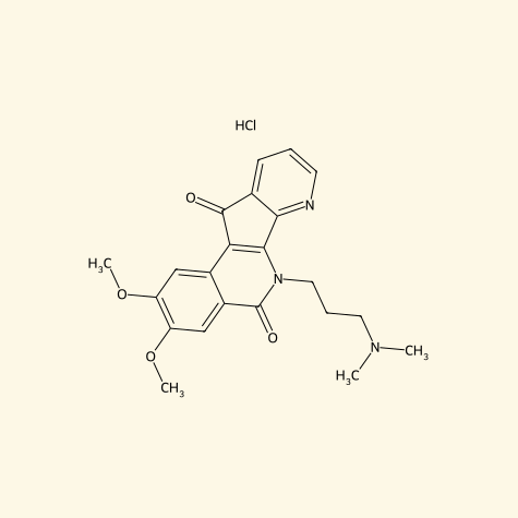 COc1cc2c3c(n(CCCN(C)C)c(=O)c2cc1OC)-c1ncccc1C3=O.Cl